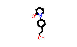 O=c1ccccn1-c1ccc(CCO)cc1